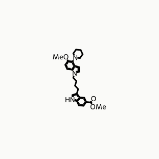 COC(=O)c1ccc2[nH]cc(CCCCn3ccc4c(N5CCCCC5)c(OC)ccc43)c2c1